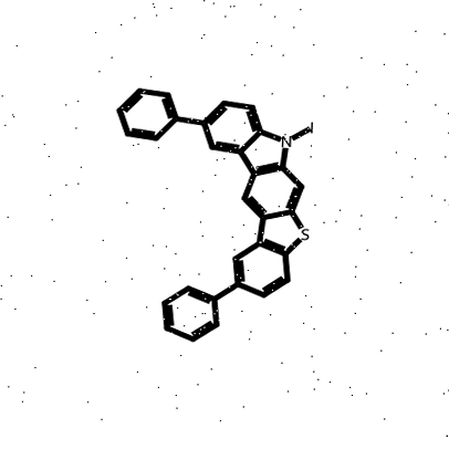 In1c2ccc(-c3ccccc3)cc2c2cc3c(cc21)sc1ccc(-c2ccccc2)cc13